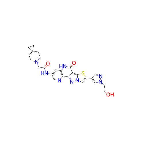 O=C(CN1CCC2(CC1)CC2)Nc1cnc2c(c1)[nH]c(=O)c1c2nn2cc(-c3cnn(CCO)c3)sc12